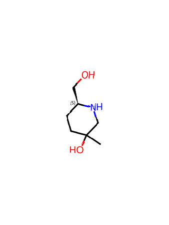 CC1(O)CC[C@@H](CO)NC1